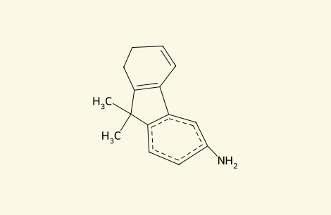 CC1(C)C2=C(C=CCC2)c2cc(N)ccc21